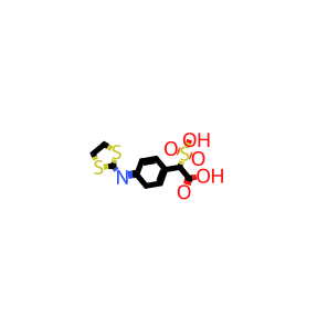 O=C(O)C(C1=CCC(=NC2SCCS2)C=C1)S(=O)(=O)O